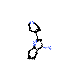 Nc1cc(-c2ccncc2)nc2ccccc12